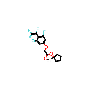 CCC1(OC(=O)COc2cc(F)c(C(F)=C(F)F)c(F)c2)CCCC1